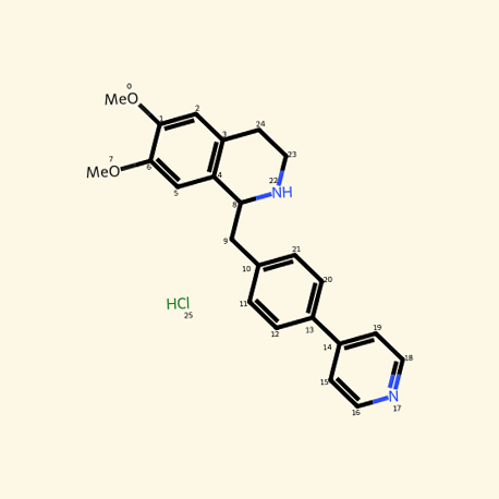 COc1cc2c(cc1OC)C(Cc1ccc(-c3ccncc3)cc1)NCC2.Cl